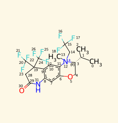 CC(C)[C@@H]1COc2cc3c(cc2[N+]1(C)CC(F)(F)F)C(C(F)(F)F)(C(F)(F)F)CC(=O)N3